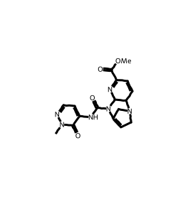 COC(=O)C1=NC2C(C=C1)N1CC=C(C1)N2C(=O)Nc1ccnn(C)c1=O